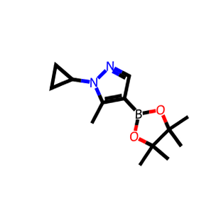 Cc1c(B2OC(C)(C)C(C)(C)O2)cnn1C1CC1